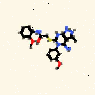 COc1cccc(-n2c(SCC(=O)Nc3ccccc3OC)nc3[nH]nc(C)c3c2=N)c1